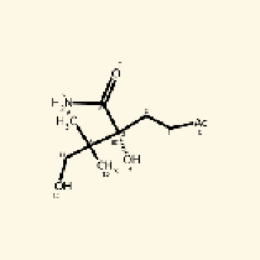 CC(=O)CC[C@](O)(C(N)=O)C(C)(C)CO